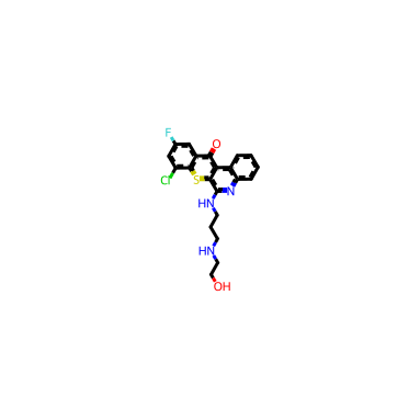 O=c1c2cc(F)cc(Cl)c2sc2c(NCCCNCCO)nc3ccccc3c12